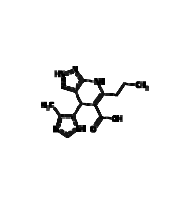 CCCC1=C(C(=O)O)C(c2[nH]cnc2C)c2c[nH]nc2N1